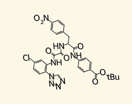 CC(C)(C)OC(=O)c1ccc(NC(=O)C(Cc2ccc([N+](=O)[O-])cc2)NC(=O)C(=O)Nc2cc(Cl)ccc2-n2cnnn2)cc1